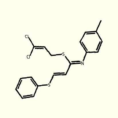 Cc1ccc(N=C(C=CSc2ccccc2)SCC=C(Cl)Cl)cc1